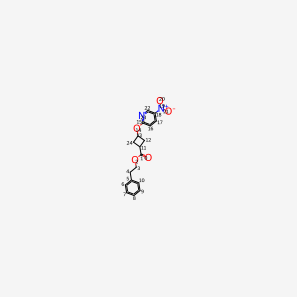 O=C(OCCc1ccccc1)C1CC(Oc2ccc([N+](=O)[O-])cn2)C1